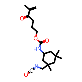 C=C(C)C(=O)CCCOC(=O)NC1CC(C)(C)CC(C)(CN=C=O)C1